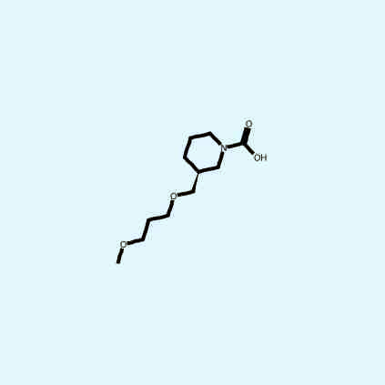 COCCCOC[C@H]1CCCN(C(=O)O)C1